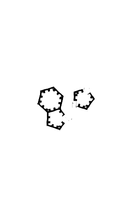 c1ccc2sccc2c1.c1cocn1